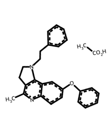 CC(=O)O.Cc1nc2ccc(Oc3ccccc3)cc2c2c1CCN2CCc1ccccc1